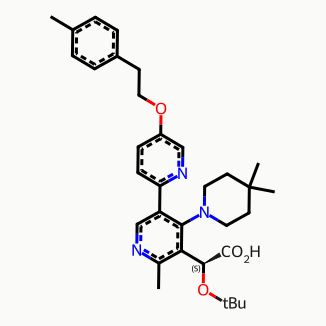 Cc1ccc(CCOc2ccc(-c3cnc(C)c([C@H](OC(C)(C)C)C(=O)O)c3N3CCC(C)(C)CC3)nc2)cc1